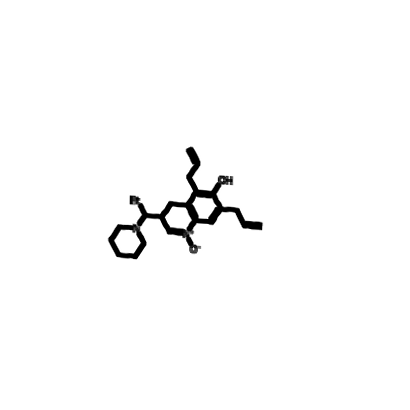 C=CCc1cc2c(c(CC=C)c1O)CC(C(CC)N1CCCCC1)C=[N+]2[O-]